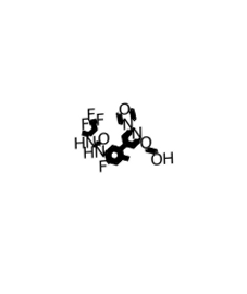 Cc1cc(F)c(NC(=O)NC(C)CC(F)(F)F)cc1-c1cc(OCCO)nc(N2CCOCC2)c1